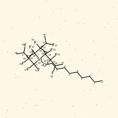 CCCCCCCCC[O][Sn]([C](F)(F)C(F)(F)C(C)F)([C](F)(F)C(F)(F)C(C)F)[C](F)(F)C(F)(F)C(C)F